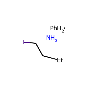 CCCCI.N.[PbH2]